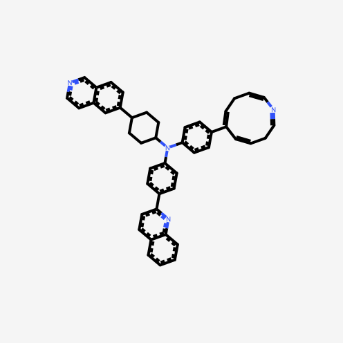 C1=C\C(c2ccc(N(c3ccc(-c4ccc5ccccc5n4)cc3)C3CCC(c4ccc5cnccc5c4)CC3)cc2)=C/C/C=C\N=C/C/1